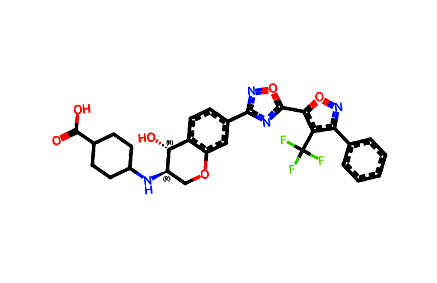 O=C(O)C1CCC(N[C@@H]2COc3cc(-c4noc(-c5onc(-c6ccccc6)c5C(F)(F)F)n4)ccc3[C@H]2O)CC1